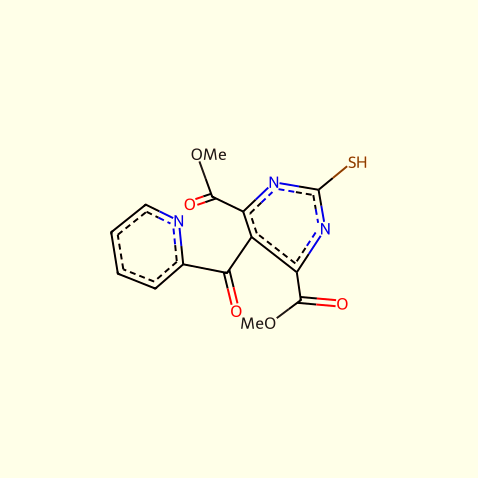 COC(=O)c1nc(S)nc(C(=O)OC)c1C(=O)c1ccccn1